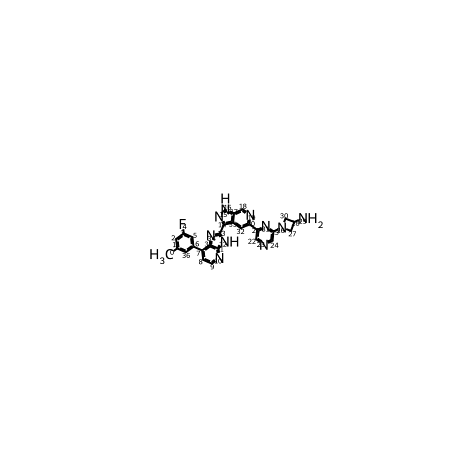 Cc1cc(F)cc(-c2ccnc3[nH]c(-c4n[nH]c5cnc(-c6cncc(N7CC(N)C7)n6)cc45)nc23)c1